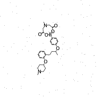 CC(CCc1ccccc1OC1CCN(C)CC1)Oc1ccc(B2OC(=O)CN(C)CC(=O)O2)cc1